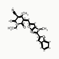 CCN1C(=O)C(C#N)=C(C)/C(=C/c2cc3c(nc(-c4cc5ccccc5o4)n3C)o2)C1=O